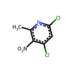 Cc1nc(Cl)cc(Cl)c1[N+](=O)[O-]